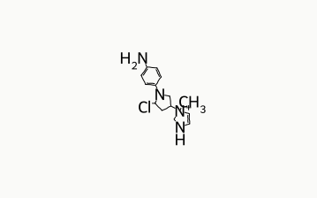 C[N+]1(C2CCN(c3ccc(N)cc3)C2)C=CNC1.[Cl-]